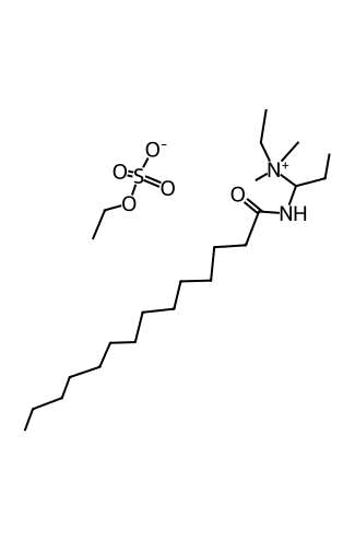 CCCCCCCCCCCCCC(=O)NC(CC)[N+](C)(C)CC.CCOS(=O)(=O)[O-]